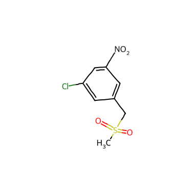 CS(=O)(=O)Cc1cc(Cl)cc([N+](=O)[O-])c1